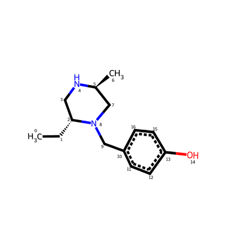 CC[C@@H]1CN[C@@H](C)CN1Cc1ccc(O)cc1